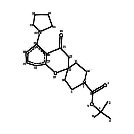 CC(C)(C)OC(=O)N1CCC2(CC1)CC(=O)c1c(cccc1N1CCCC1)O2